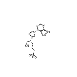 N#CCC(CCC[SH](=O)=O)n1cc(-c2ncnc3[nH]ccc23)cn1